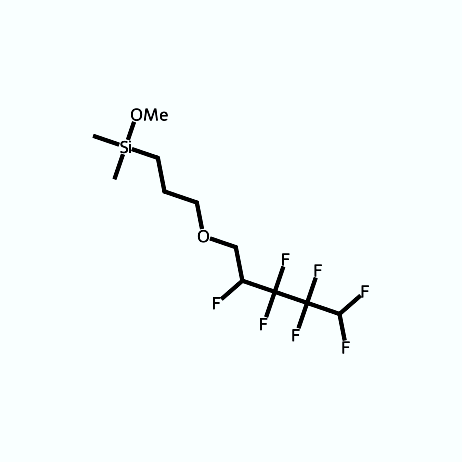 CO[Si](C)(C)CCCOCC(F)C(F)(F)C(F)(F)C(F)F